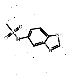 CS(=O)(=O)Nc1ccc2[nH][c]nc2c1